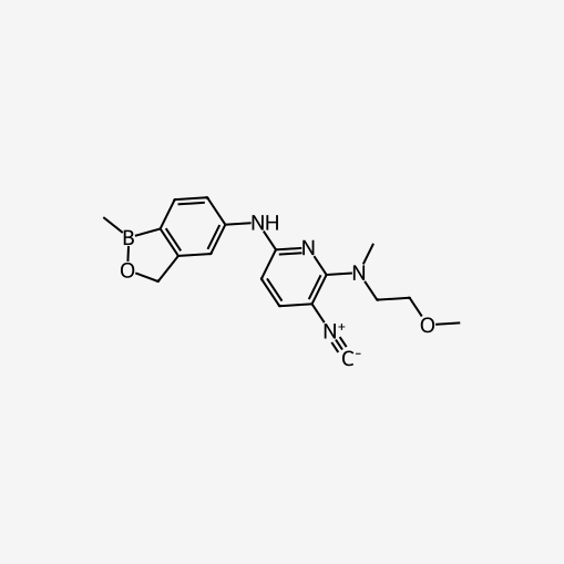 [C-]#[N+]c1ccc(Nc2ccc3c(c2)COB3C)nc1N(C)CCOC